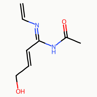 C=C/N=C(\C=C\CO)NC(C)=O